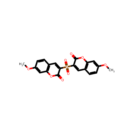 COc1ccc2cc(S(=O)(=O)c3cc4ccc(OC)cc4oc3=O)c(=O)oc2c1